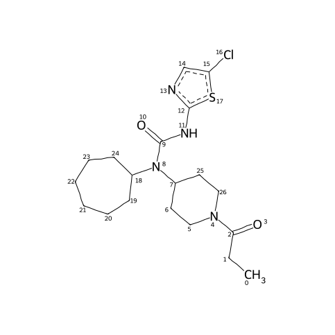 CCC(=O)N1CCC(N(C(=O)Nc2ncc(Cl)s2)C2CCCCCC2)CC1